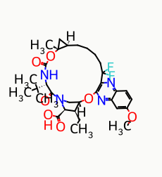 CC[C@@H]1[C@@H]2CN(C(=O)[C@H](C(C)(C)C)NC(=O)O[C@]3(C)C[C@H]3CCCCC(F)(F)c3nc4ccc(OC)cc4nc3O2)[C@@H]1C(=O)O